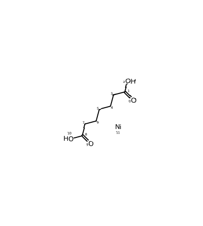 O=C(O)CCCCCC(=O)O.[Ni]